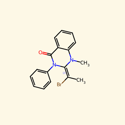 C/C(Br)=C1\N(C)c2ccccc2C(=O)N1c1ccccc1